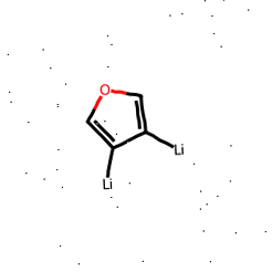 [Li][c]1coc[c]1[Li]